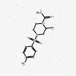 CCC1CN(S(=O)(=O)c2ccc(C#N)cc2)CCN1C(=O)OCC(C)C